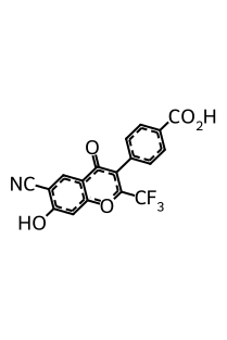 N#Cc1cc2c(=O)c(-c3ccc(C(=O)O)cc3)c(C(F)(F)F)oc2cc1O